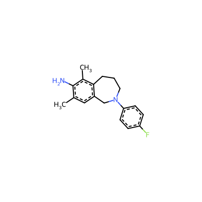 Cc1cc2c(c(C)c1N)CCCN(c1ccc(F)cc1)C2